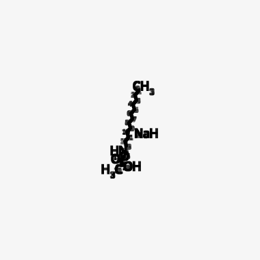 CCCCCCCCCCCCCCNOC(=O)C(C)O.[NaH]